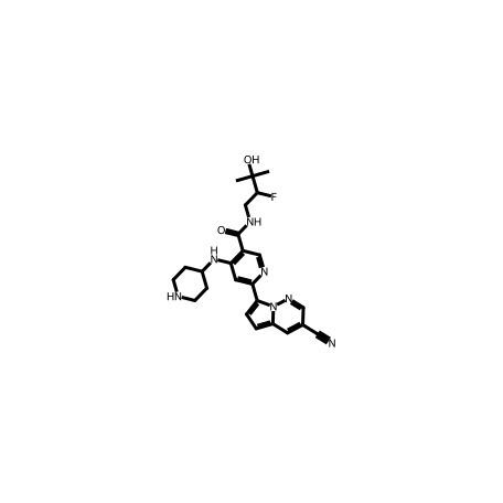 CC(C)(O)C(F)CNC(=O)c1cnc(-c2ccc3cc(C#N)cnn23)cc1NC1CCNCC1